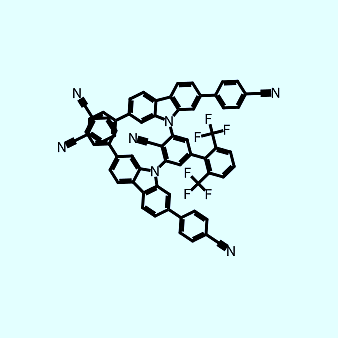 N#Cc1ccc(-c2ccc3c4ccc(-c5ccc(C#N)cc5)cc4n(-c4cc(-c5c(C(F)(F)F)cccc5C(F)(F)F)cc(-n5c6cc(-c7ccc(C#N)cc7)ccc6c6ccc(-c7ccc(C#N)cc7)cc65)c4C#N)c3c2)cc1